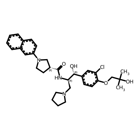 CC(C)(O)COc1ccc([C@@H](O)[C@@H](CN2CCCC2)NC(=O)[C@@H]2CCN(c3ccc4ccccc4c3)C2)cc1Cl